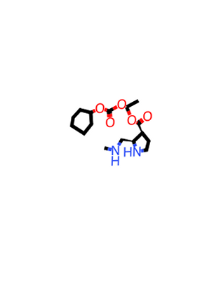 CNC[C@@H]1NCC[C@@H]1C(=O)OC(C)OC(=O)OC1CCCCC1